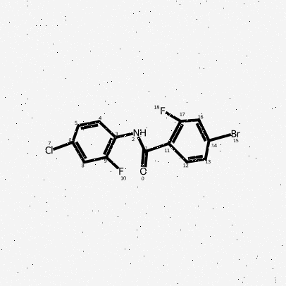 O=C(Nc1ccc(Cl)cc1F)c1ccc(Br)cc1F